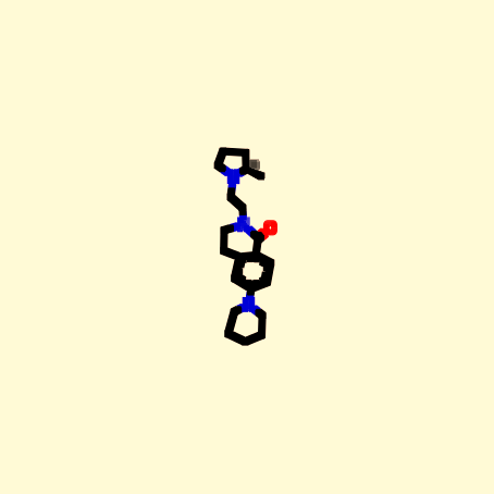 C[C@@H]1CCCN1CCN1CCc2cc(N3CCCCC3)ccc2C1=O